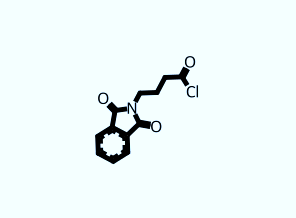 O=C(Cl)CCCN1C(=O)c2ccccc2C1=O